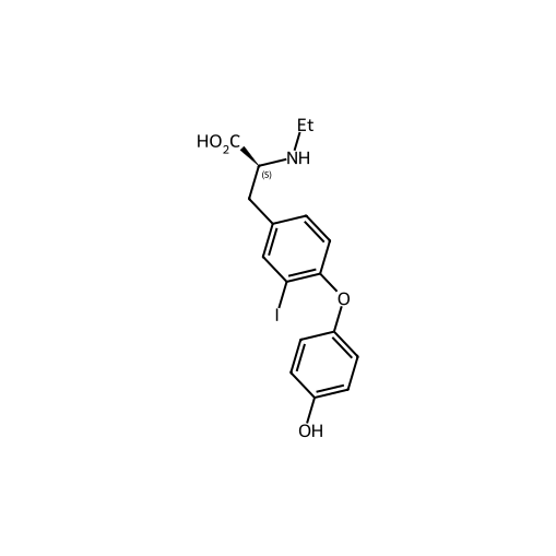 CCN[C@@H](Cc1ccc(Oc2ccc(O)cc2)c(I)c1)C(=O)O